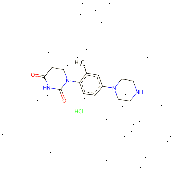 Cc1cc(N2CCNCC2)ccc1N1CCC(=O)NC1=O.Cl